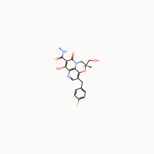 CNC(=O)c1c(O)c2ncc(Cc3ccc(F)cc3)c3c2n(c1=O)C[C@](C)(CO)O3